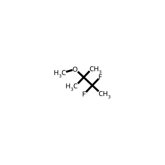 COC(C)(C)C(C)(F)F